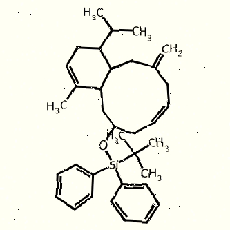 C=C1CC=CCC(O[Si](c2ccccc2)(c2ccccc2)C(C)(C)C)CC2C(C)=CCC(C(C)C)C2C1